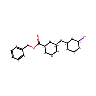 O=C(OCc1ccccc1)C1CCC[C@H](CC2CCCC(I)C2)C1